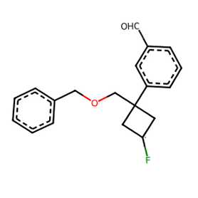 O=Cc1cccc(C2(COCc3ccccc3)C[C](F)C2)c1